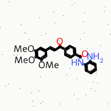 COc1cc(/C=C/C(=O)c2ccc(C(=O)Nc3ccccc3N)cc2)cc(OC)c1OC